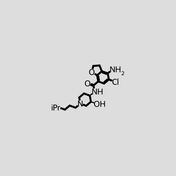 CC(C)CCCN1CC[C@@H](NC(=O)c2cc(Cl)c(N)c3c2OCC3)[C@@H](O)C1